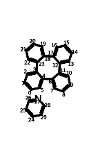 c1ccc2c(c1)-c1ccccc1-c1ccccc1-c1ccccc1-2.c1ccncc1